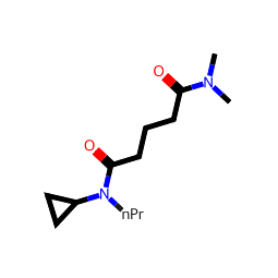 CCCN(C(=O)CCCC(=O)N(C)C)C1CC1